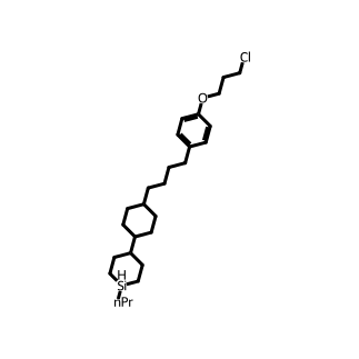 CCC[SiH]1CCC(C2CCC(CCCCc3ccc(OCCCCl)cc3)CC2)CC1